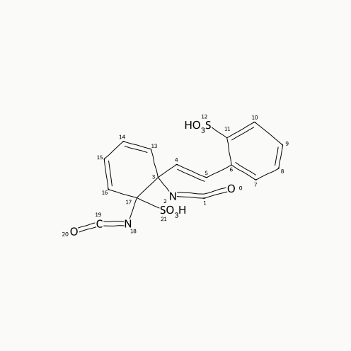 O=C=NC1(C=Cc2ccccc2S(=O)(=O)O)C=CC=CC1(N=C=O)S(=O)(=O)O